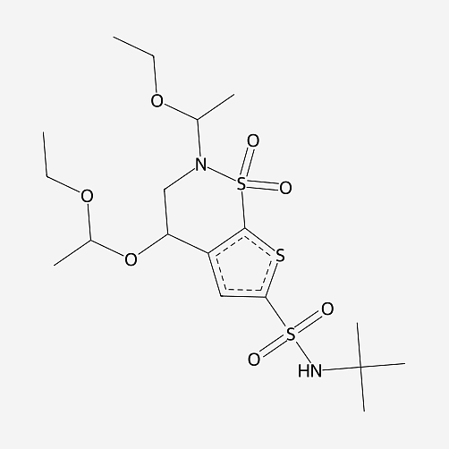 CCOC(C)OC1CN(C(C)OCC)S(=O)(=O)c2sc(S(=O)(=O)NC(C)(C)C)cc21